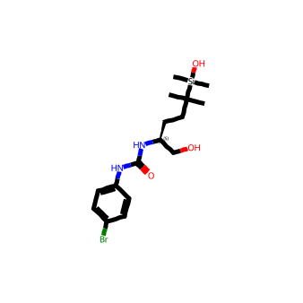 CC(C)(CC[C@@H](CO)NC(=O)Nc1ccc(Br)cc1)[Si](C)(C)O